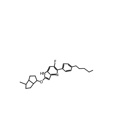 CCCCCc1ccc(-c2nc3cc(OC4CCC5C(C)CCC45)[nH]c3cc2F)cc1